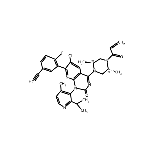 C#Cc1ccc(F)c(-c2nc3c(cc2Cl)c(N2C[C@@H](C)N(C(=O)C=C)C[C@@H]2C)nc(=O)n3-c2c(C)ccnc2C(C)C)c1